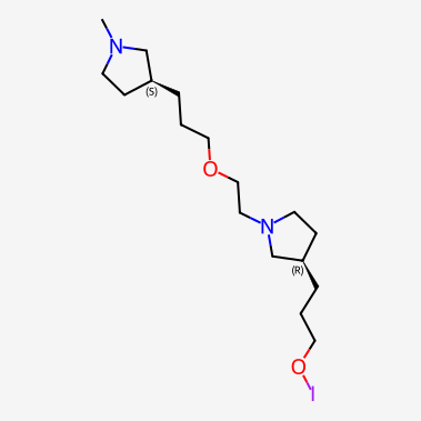 CN1CC[C@H](CCCOCCN2CC[C@@H](CCCOI)C2)C1